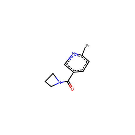 CC(C)c1ccc(C(=O)N2CCC2)cn1